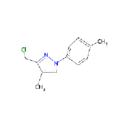 Cc1ccc(-n2cc(C)c(CCl)n2)cc1